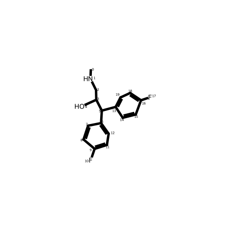 CNCC(O)C(c1ccc(F)cc1)c1ccc(F)cc1